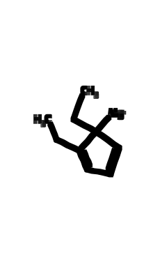 CCC1=CC=C[C]1([Mg])CC